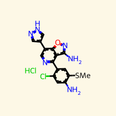 CSc1cc(-c2ncc(-c3cn[nH]c3)c3onc(N)c23)c(Cl)cc1N.Cl